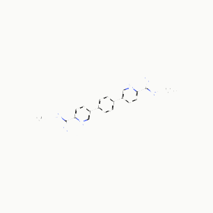 CO/N=C(\N)c1ccc(-c2ccc(-c3ccc(/C(N)=N/OC)nc3)cc2)cn1